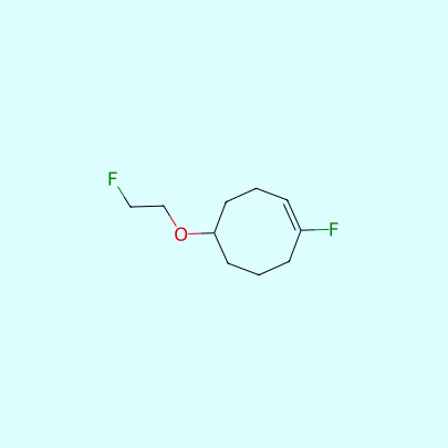 FCCOC1CCC=C(F)CCC1